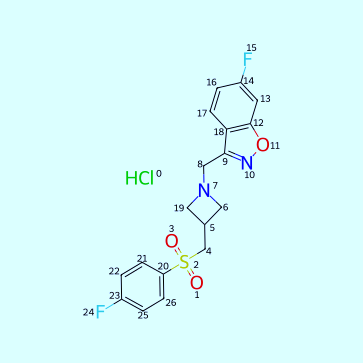 Cl.O=S(=O)(CC1CN(Cc2noc3cc(F)ccc23)C1)c1ccc(F)cc1